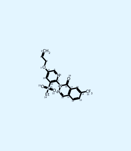 C=CCOc1cnc(-n2ncc3ccc(C(F)(F)F)cc3c2=O)c(S(=O)(=O)CC)c1